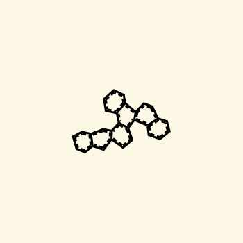 c1ccc2cc3c(ccc4c5c6ccccc6ccc5c5ccccc5c34)cc2c1